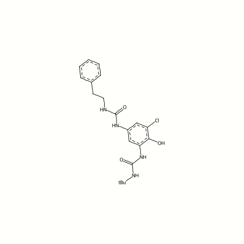 CC(C)(C)NC(=O)Nc1cc(NC(=O)NCCc2ccccc2)cc(Cl)c1O